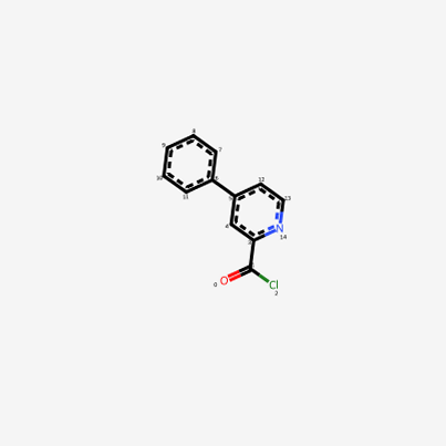 O=C(Cl)c1cc(-c2ccccc2)ccn1